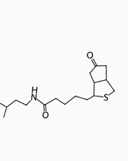 CC(C)CCNC(=O)CCCCC1SCC2CC(=O)CC21